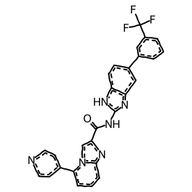 O=C(Nc1nc2cc(-c3cccc(C(F)(F)F)c3)ccc2[nH]1)c1cn2c(-c3ccncc3)cccc2n1